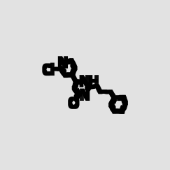 O=c1cc(-c2ccnc(Cl)c2)[nH]c(CCCc2ccccc2)n1